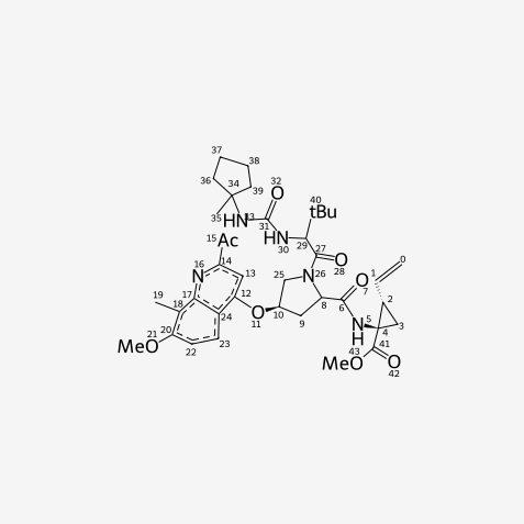 C=C[C@@H]1C[C@]1(NC(=O)C1C[C@@H](Oc2cc(C(C)=O)nc3c(C)c(OC)ccc23)CN1C(=O)C(NC(=O)NC1(C)CCCC1)C(C)(C)C)C(=O)OC